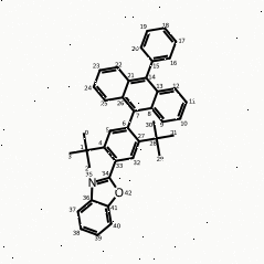 CC(C)(C)c1cc(-c2c3ccccc3c(-c3ccccc3)c3ccccc23)c(C(C)(C)C)cc1-c1nc2ccccc2o1